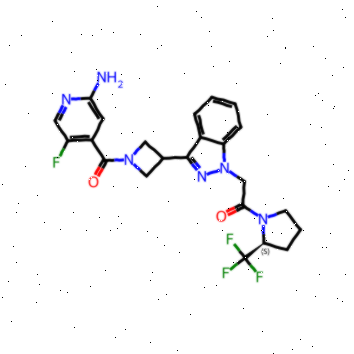 Nc1cc(C(=O)N2CC(c3nn(CC(=O)N4CCC[C@H]4C(F)(F)F)c4ccccc34)C2)c(F)cn1